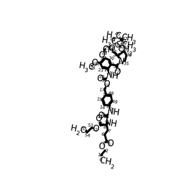 C=CCOC(=O)CCC(NC(=O)Nc1ccc(COC(=O)Nc2cc(OC)c(OC)cc2C(=O)N2CCCC2CO[Si](C)(C)C(C)(C)C)cc1)C(=O)OCC=C